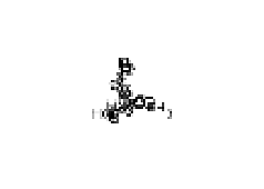 COc1ccc([C@@H](C(=O)NCCC(=O)O)C2CCN(C(=O)CCc3cccnc3)CC2)cc1